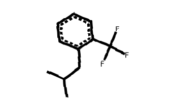 CC(C)Cc1cc[c]cc1C(F)(F)F